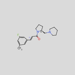 O=C(/C=C/c1cc(F)cc(C(F)(F)F)c1)N1CCC[C@H]1CN1CCCCC1